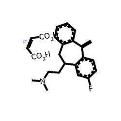 C=C1c2ccccc2CC(CCN(C)C)c2cc(F)ccc21.O=C(O)/C=C\C(=O)O